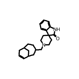 O=C1Nc2ccccc2C12CCN(CC1CCC3CC=CC(C3)C1)CC2